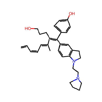 C=C\C=C/C=C(C)/C(CCCO)=C(/c1ccc(O)cc1)c1ccc2c(c1)CCN2CCN1CCCC1